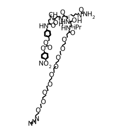 CC(C)[C@H](NC(=O)CCOCCOCCOCCOCCOCCOCCOCCOCCOCCN=[N+]=[N-])C(=O)N[C@@H](CCCNC(N)=O)C(=O)NCC(=O)N(C)CC(=O)Nc1ccc(COC(=O)Oc2ccc([N+](=O)[O-])cc2)cc1